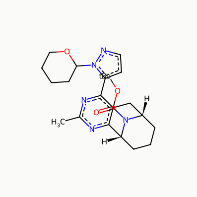 Cc1nc(-c2ccnn2C2CCCCO2)c2c(n1)[C@H]1CCC[C@@H](C2)N1C(=O)OC(C)(C)C